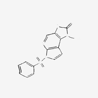 CC(C)(C)n1c(=O)[nH]c2cnc3c(ccn3S(=O)(=O)c3ccccc3)c21